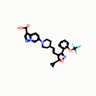 O=C(O)c1cnn2cc(N3CCC(C=Cc4c(-c5ccccc5OC(F)(F)F)noc4C4CC4)CC3)ccc12